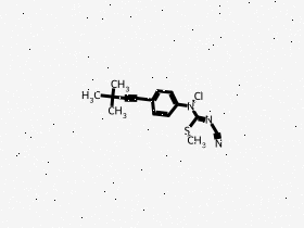 CSC(=NC#N)N(Cl)c1ccc(C#CC(C)(C)C)cc1